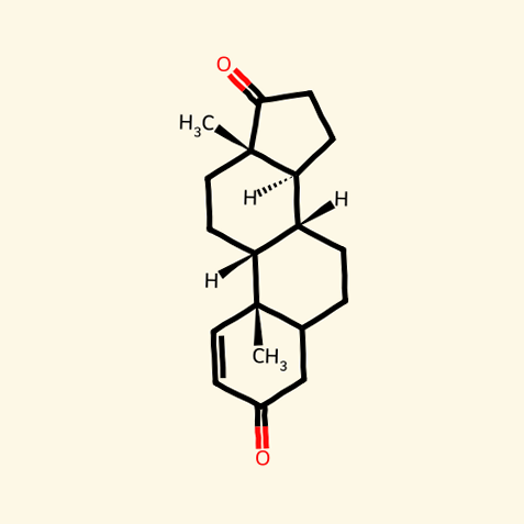 C[C@]12C=CC(=O)CC1CC[C@@H]1[C@H]2CC[C@]2(C)C(=O)CC[C@@H]12